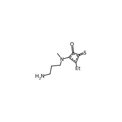 CCc1c(N(C)CCCN)c(=O)c1=S